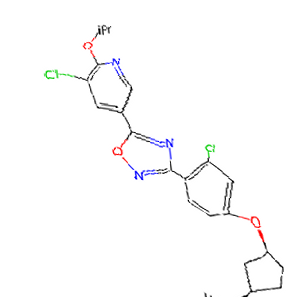 CC(C)Oc1ncc(-c2nc(-c3ccc(O[C@H]4CC[C@@H](C(=O)O)C4)cc3Cl)no2)cc1Cl